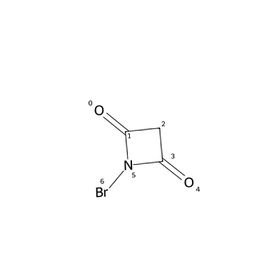 O=C1CC(=O)N1Br